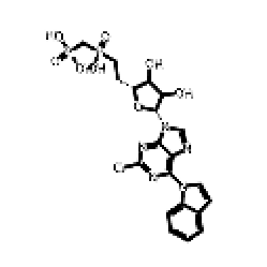 O=P(O)(O)CP(=O)(O)CC[C@H]1O[C@@H](n2cnc3c(-n4ccc5ccccc54)nc(Cl)nc32)C(O)C1O